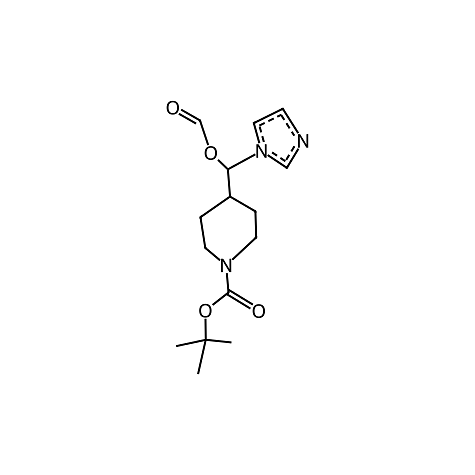 CC(C)(C)OC(=O)N1CCC(C(OC=O)n2ccnc2)CC1